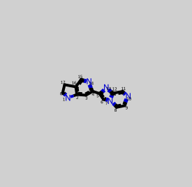 C1=Nc2cc(-c3cn4ccncc4n3)ncc2C1